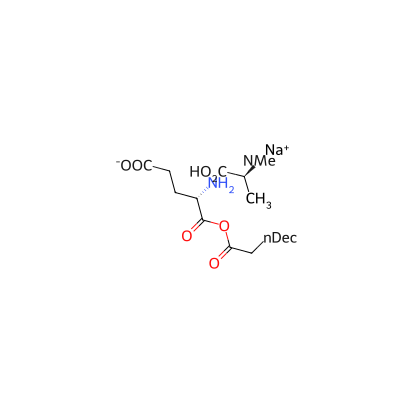 CCCCCCCCCCCC(=O)OC(=O)[C@@H](N)CCC(=O)[O-].CN[C@@H](C)C(=O)O.[Na+]